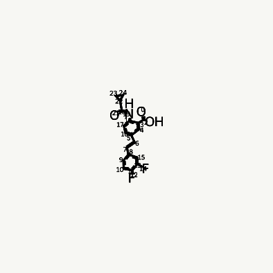 O=C(O)c1cc(/C=C/c2ccc(F)c(F)c2)ccc1NC(=O)C1CC1